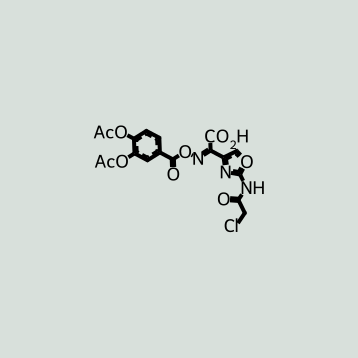 CC(=O)Oc1ccc(C(=O)O/N=C(\C(=O)O)c2coc(NC(=O)CCl)n2)cc1OC(C)=O